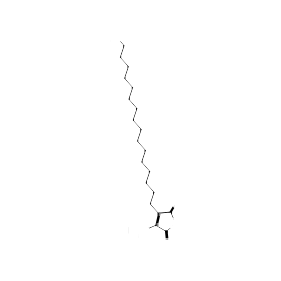 CCCCCCCCCCCCCCCCCC1=C(C)C(=O)OC1=O